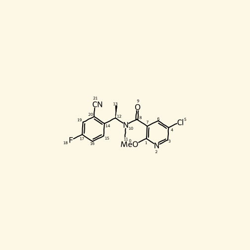 COc1ncc(Cl)cc1C(=O)N(C)[C@H](C)c1ccc(F)cc1C#N